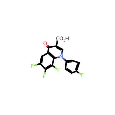 O=C(O)c1cn(-c2ccc(F)cc2)c2c(F)c(F)c(F)cc2c1=O